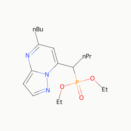 CCCCc1cc(C(CCC)P(=O)(OCC)OCC)n2nccc2n1